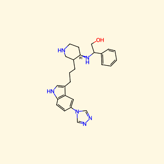 OCC(N[C@@H]1CCNCC1CCCc1c[nH]c2ccc(-n3cnnc3)cc12)c1ccccc1